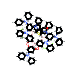 Fc1cccc(F)c1N1c2cc3c(cc2B2c4sc5ccccc5c4N(c4ccccc4)c4cc(N(c5ccccc5)c5ccccc5)cc1c42)B1c2cc4c(cc2Oc2cc(N(c5ccccc5)c5ccccc5)cc(c21)O3)N(c1c(F)cccc1F)c1cc(N(c2ccccc2)c2ccccc2)cc2c1B4c1sc3ccccc3c1N2c1ccccc1